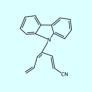 C=C/C=C(\C=C\C#N)n1c2ccccc2c2ccccc21